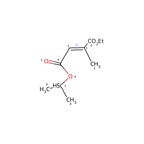 CCOC(=O)/C(C)=C/C(=O)O[SiH](C)C